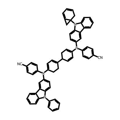 N#Cc1ccc(N(C2=CCC(C3=CC=C(N(c4ccc(C#N)cc4)c4ccc5c(c4)c4ccccc4n5-c4ccccc4)CC3)C=C2)c2ccc3c(c2)c2ccccc2n3C23CC=CC=C2C3)cc1